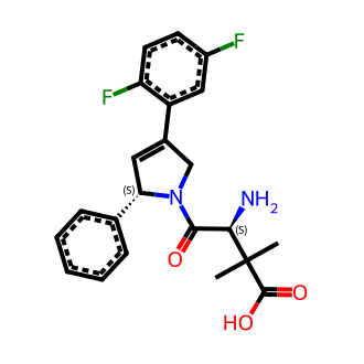 CC(C)(C(=O)O)[C@H](N)C(=O)N1CC(c2cc(F)ccc2F)=C[C@H]1c1ccccc1